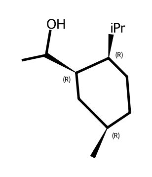 CC(C)[C@H]1CC[C@@H](C)C[C@H]1C(C)O